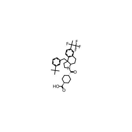 CC(C)(C)c1cccc(CC23CCN(C(=O)[C@H]4CC[C@H](C(=O)O)CC4)C2CCc2cc(C(C)(F)C(F)(F)F)ccc23)c1